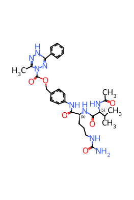 CC(=O)N[C@H](C(=O)N[C@@H](CCCNC(N)=O)C(=O)Nc1ccc(COC(=O)N2N=C(c3ccccc3)NN=C2C)cc1)C(C)C